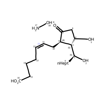 CCCCCCC[C@H](O)[C@H]1C(O)CC(=O)[C@@H]1C/C=C\CCCC(=O)O.NO